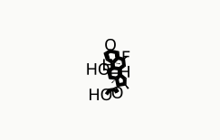 C[C@@H]1C[C@H]2[C@@H]3C[C@H](F)C4=CC(=O)C=C[C@]4(C)[C@H]3[C@H](O)C[C@]2(C)[C@H]1C(=O)CO